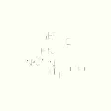 CCCCC(CC)CNC(NCC(CC)CCCC)n1ccnn1